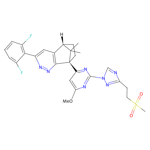 COc1cc([C@@]23CC[C@@H](c4cc(-c5c(F)cccc5F)nnc42)C3(C)C)nc(-n2cnc(CCS(C)(=O)=O)n2)n1